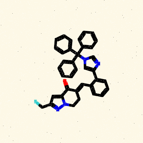 O=C1C(=Cc2ccccc2-c2cn(C(c3ccccc3)(c3ccccc3)c3ccccc3)cn2)CCn2nc(CF)cc21